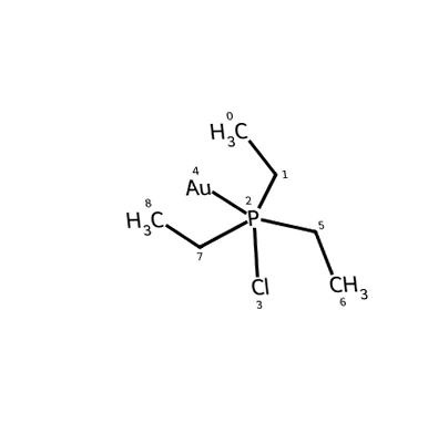 CC[P](Cl)([Au])(CC)CC